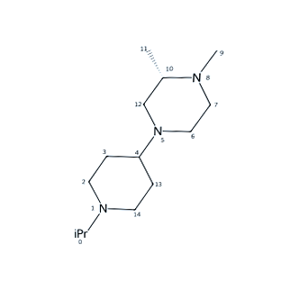 CC(C)N1CCC(N2CCN(C)[C@@H](C)C2)CC1